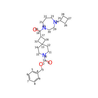 O=C(OCc1ccccc1)N1CCC2(CC1)CC(C(=O)N1CCCN(C3CCC3)CC1)C2